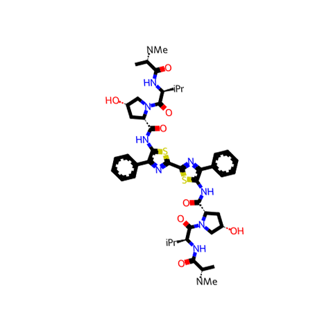 CN[C@@H](C)C(=O)N[C@H](C(=O)N1C[C@@H](O)C[C@H]1C(=O)Nc1sc(-c2nc(-c3ccccc3)c(NC(=O)[C@@H]3C[C@H](O)CN3C(=O)[C@@H](NC(=O)[C@H](C)NC)C(C)C)s2)nc1-c1ccccc1)C(C)C